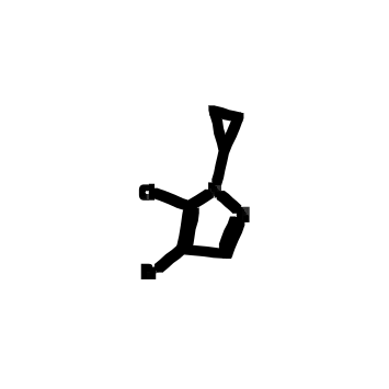 Clc1c(Br)cnn1C1CC1